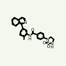 Cc1ccc(-c2nccc3ccccc23)cc1NC(=O)c1ccc(N2CCNS2(=O)=O)cc1